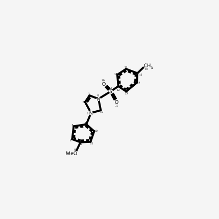 COc1ccc(N2C=CN(S(=O)(=O)c3ccc(C)cc3)C2)cc1